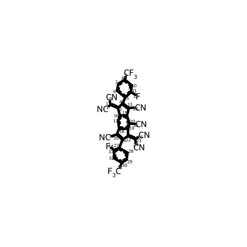 N#CC(C#N)=C1C(c2ccc(C(F)(F)F)cc2F)=C(C#N)c2c1cc1c(c2C#N)C(=C(C#N)C#N)C(c2ccc(C(F)(F)F)cc2F)=C1C#N